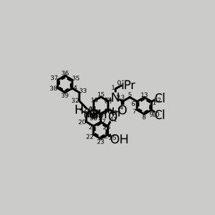 CC(C)CN(C(=O)Cc1ccc(Cl)c(Cl)c1)[C@H]1CC[C@@]2(O)[C@H]3Cc4ccc(O)c5c4[C@@]2(CCN3CCc2ccccc2)[C@H]1O5